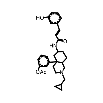 CC(=O)Oc1cccc(C23CCN(CC4CC4)CC2CCC(NC(=O)/C=C/c2cccc(O)c2)C3)c1